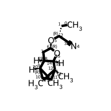 CC[C@H](C#N)O[C@@H]1C[C@H]2[C@H]3CC[C@@](C)([C@H]2O1)C3(C)C